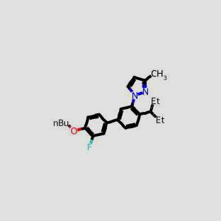 CCCCOc1ccc(-c2ccc(C(CC)CC)c(-n3ccc(C)n3)c2)cc1F